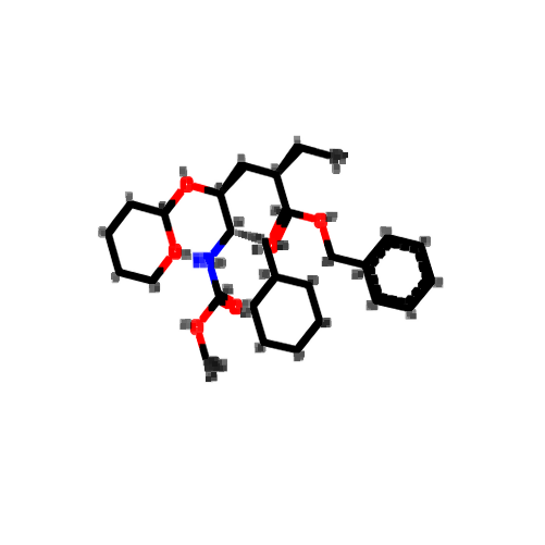 CC(C)C[C@H](C[C@H](OC1CCCCO1)[C@H](CC1CCCCC1)NC(=O)OC(C)(C)C)C(=O)OCc1ccccc1